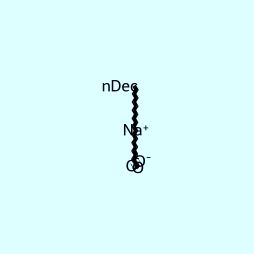 CCCCCCCCCCCCCCCCCCCCCCCCCC=CCS(=O)(=O)[O-].[Na+]